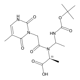 Cc1c[nH]c(=O)n(CC(=O)N(C(C)NC(=O)OC(C)(C)C)[C@@H](C)C(=O)O)c1=O